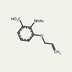 C=CCOc1cccc(C(=O)O)c1NC(C)=O